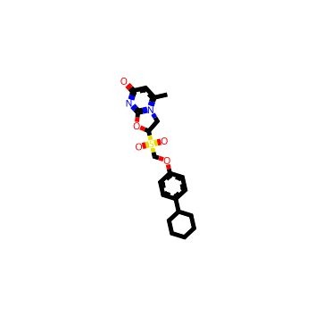 Cc1cc(=O)nc2n1CC(S(=O)(=O)COc1ccc(C3CCCCC3)cc1)O2